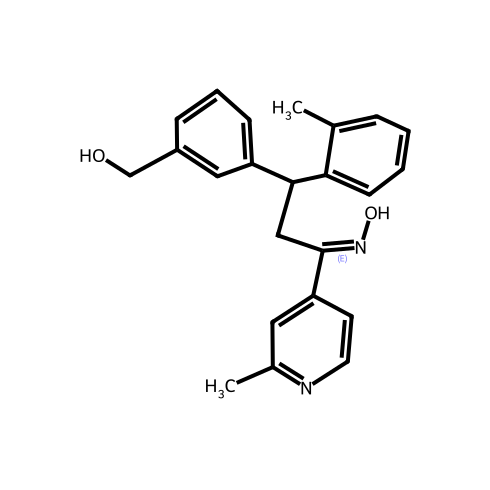 Cc1cc(/C(CC(c2cccc(CO)c2)c2ccccc2C)=N/O)ccn1